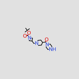 CC(C)(C)OC(=O)N1CC(CN2CCC(C(=O)N3CCNCC3)CC2)C1